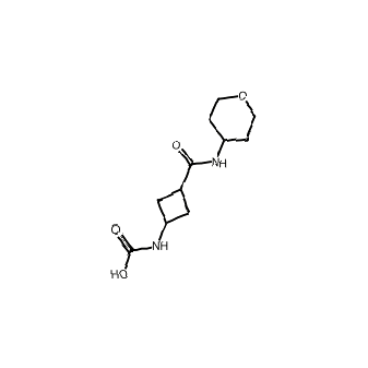 O=C(O)NC1CC(C(=O)NC2CCOCC2)C1